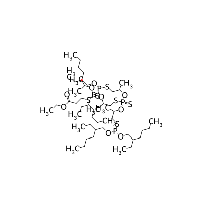 CCCCC(CC)COP(OCC(CC)CCCC)SCC(C)OP(=S)(OC(C)CSP(OCC(CC)CCCC)OCC(CC)CCCC)SCC(C)OP(OC(C)C)SCCC(=O)OCC